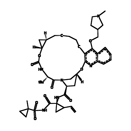 C=CC1C[C@]1(NC(=O)[C@@H]1C[C@@H]2CN1C(=O)[C@H](C(C)(C)C)NC(=O)O[C@@H]1C[C@H]1CCCCCc1c(nc3ccccc3c1OCC1CCN(C)C1)O2)C(=O)NS(=O)(=O)C1(C)CC1